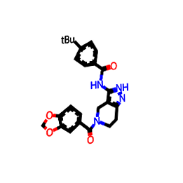 CC(C)(C)c1ccc(C(=O)Nc2[nH]nc3c2CN(C(=O)c2ccc4c(c2)OCO4)CC3)cc1